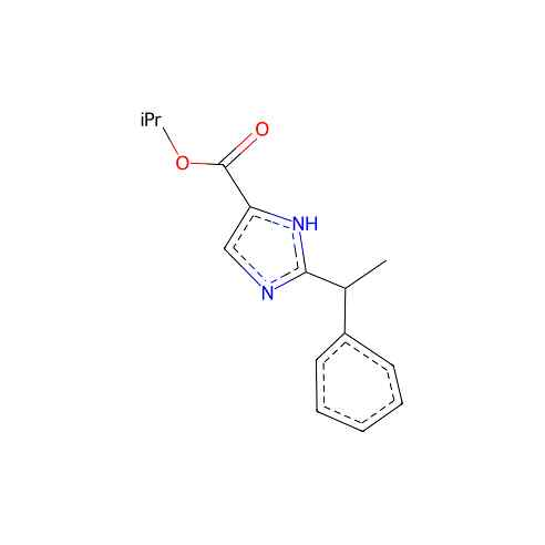 CC(C)OC(=O)c1cnc(C(C)c2ccccc2)[nH]1